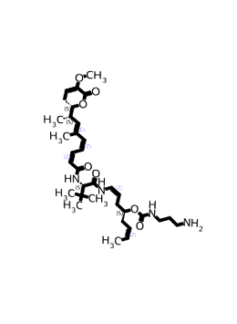 C/C=C\C[C@@H](C/C=C\NC(=O)[C@@H](NC(=O)\C=C/C=C\C(C)=C\[C@H](C)[C@@H]1CC=C(OC)C(=O)O1)C(C)(C)C)OC(=O)NCCCN